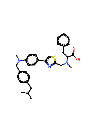 CC(C)Cc1ccc(CN(C)c2ccc(-c3csc(CN(C)C(Cc4ccccc4)C(=O)O)n3)cc2)cc1